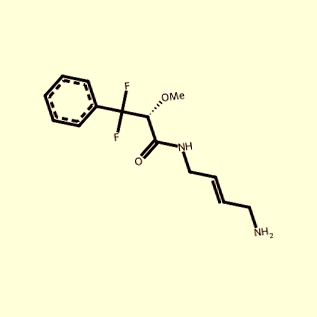 CO[C@H](C(=O)NC/C=C/CN)C(F)(F)c1ccccc1